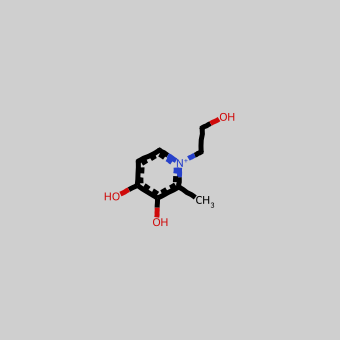 Cc1c(O)c(O)cc[n+]1CCO